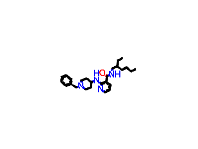 CCCCC(CC)CNC(=O)c1cccnc1NC1CCN(Cc2ccccc2)CC1